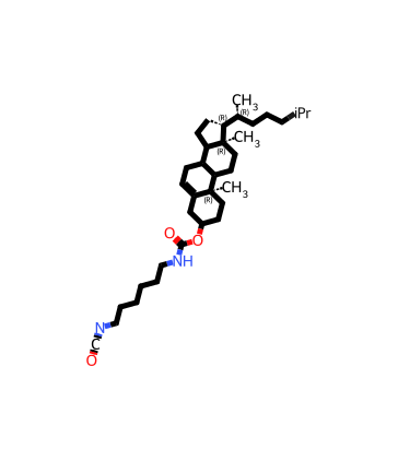 CC(C)CCC[C@@H](C)[C@H]1CCC2C3CC=C4CC(OC(=O)NCCCCCCN=C=O)CC[C@]4(C)C3CC[C@@]21C